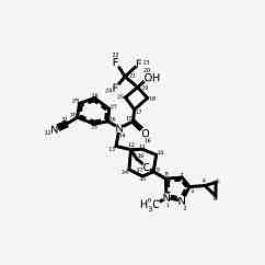 Cn1nc(C2CC2)cc1C12CCC(CN(C(=O)C3CC(O)(C(F)(F)F)C3)c3cccc(C#N)c3)(CC1)CC2